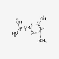 Cc1cncc(O)n1.O=C(O)O